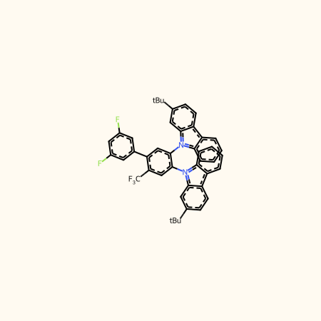 CC(C)(C)c1ccc2c3ccccc3n(-c3cc(-c4cc(F)cc(F)c4)c(C(F)(F)F)cc3-n3c4ccccc4c4ccc(C(C)(C)C)cc43)c2c1